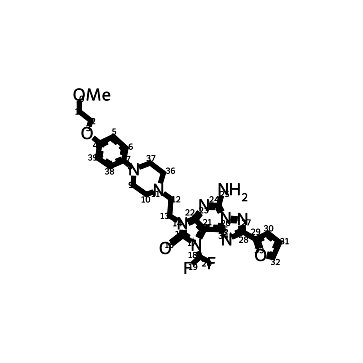 COCCOc1ccc(N2CCN(CCn3c(=O)n(C(F)F)c4c3nc(N)n3nc(-c5ccco5)nc43)CC2)cc1